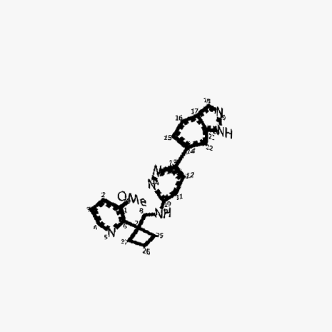 COc1cccnc1C1(CNc2ccc(-c3ccc4cn[nH]c4c3)nn2)CCC1